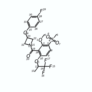 COc1c(S(C)(=O)=O)ccc(OC(C)C(F)(F)F)c1C(=O)N1CC(Oc2ccc(F)cc2)C1